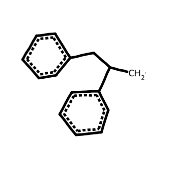 [CH2]C(Cc1ccccc1)c1ccccc1